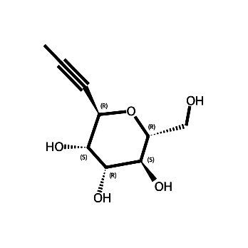 CC#C[C@H]1O[C@H](CO)[C@@H](O)[C@H](O)[C@@H]1O